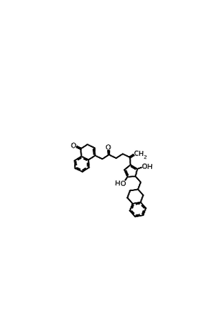 C=C(CCC(=O)CC1=CCC(=O)c2ccccc21)C1=C(O)C(CC2CCc3ccccc3C2)C(O)=C1